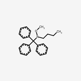 CCCCN(OC)C(c1ccccc1)(c1ccccc1)c1ccccc1